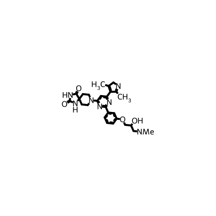 CNCC(O)COc1cccc(-c2nc(C3=C(C)CN=C3C)cc(N3CCC4(CC3)NC(=O)NC4=O)n2)c1